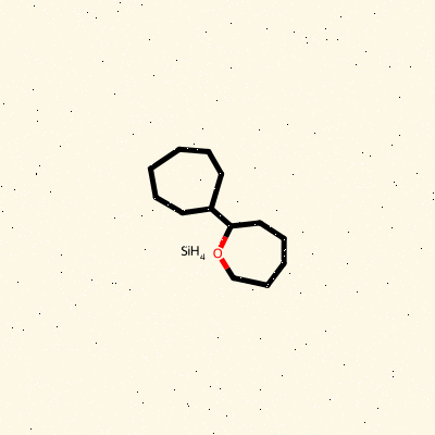 C1CCCC(C2CCCCCO2)CC1.[SiH4]